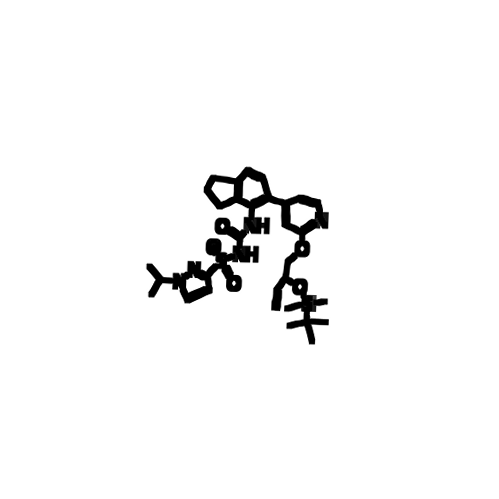 C=CC(COc1cc(-c2ccc3c(c2NC(=O)NS(=O)(=O)c2ccn(C(C)C)n2)CCC3)ccn1)O[Si](C)(C)C(C)(C)C